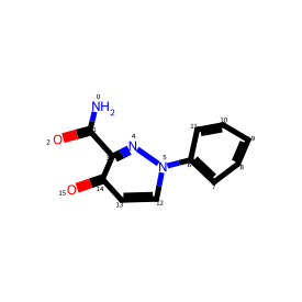 NC(=O)c1nn(-c2ccccc2)ccc1=O